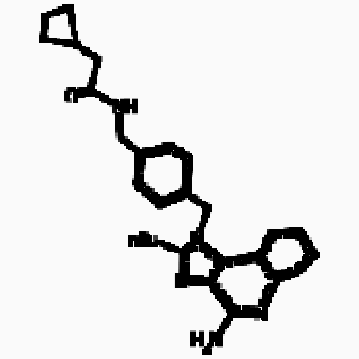 CCCCc1nc2c(N)nc3ccccc3c2n1Cc1ccc(CNC(=O)CC2CCC2)cc1